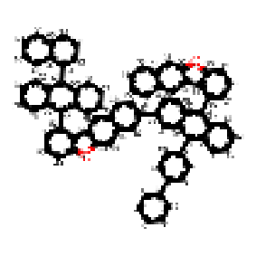 c1ccc(-c2ccc(-c3c4ccccc4c(-c4cccc5oc6cc7ccccc7cc6c45)c4ccc(-c5ccc6cc7c(cc6c5)oc5cccc(-c6c8ccccc8c(-c8cccc9ccccc89)c8ccccc68)c57)cc34)cc2)cc1